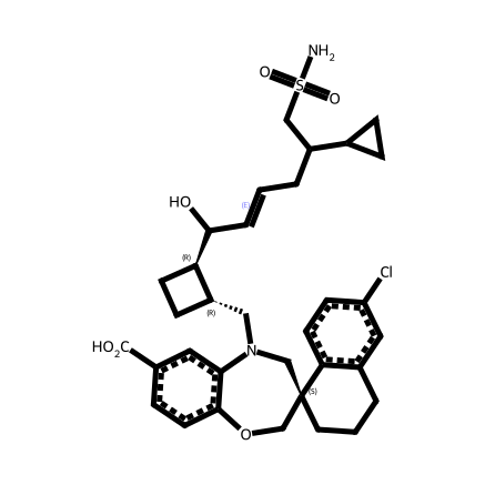 NS(=O)(=O)CC(C/C=C/C(O)[C@@H]1CC[C@H]1CN1C[C@@]2(CCCc3cc(Cl)ccc32)COc2ccc(C(=O)O)cc21)C1CC1